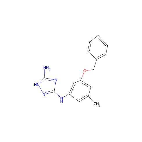 Cc1cc(Nc2n[nH]c(N)n2)cc(OCc2ccccc2)c1